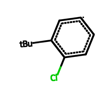 CC(C)(C)c1c[c]ccc1Cl